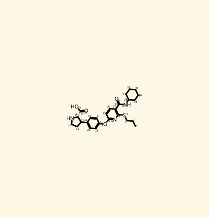 CCCSc1nc(Oc2ccc(C3CCN[C@@H]3C(=O)O)cc2)ccc1C(=O)NC1CCCCC1